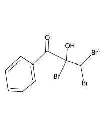 O=C(c1ccccc1)C(O)(Br)C(Br)Br